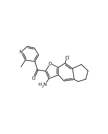 Cc1ncccc1C(=O)c1oc2c(Cl)c3c(cc2c1N)CCCC3